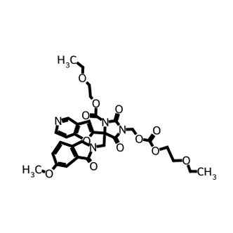 CCOCCOC(=O)OCN1C(=O)N(C(=O)OCCOCC)C(CN2Cc3ccc(OC)cc3C2=O)(c2cc3cnccc3o2)C1=O